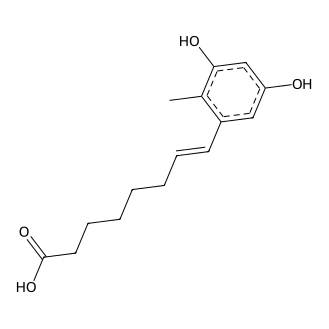 Cc1c(O)cc(O)cc1C=CCCCCCC(=O)O